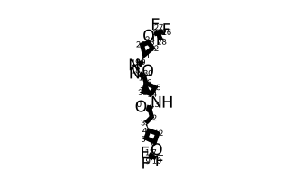 O=C(CC[C@H]1C[C@@H](OC(F)(F)F)C1)NC12CC(c3nnc([C@H]4C[C@@H](OC(F)(F)F)C4)o3)(C1)C2